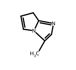 Cc1cnc2n1C=CC2